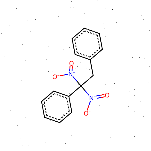 O=[N+]([O-])C(Cc1ccccc1)(c1ccccc1)[N+](=O)[O-]